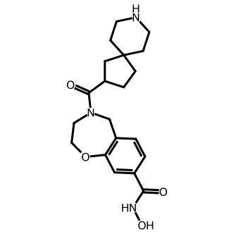 O=C(NO)c1ccc2c(c1)OCCN(C(=O)C1CCC3(CCNCC3)C1)C2